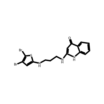 O=c1cc(NCCCNc2cc(Br)c(Br)s2)[nH]c2ccccc12